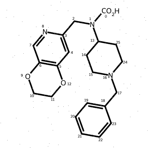 O=C(O)N(Cc1cc2c(cn1)OCCO2)C1CCN(Cc2ccccc2)CC1